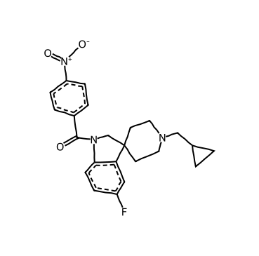 O=C(c1ccc([N+](=O)[O-])cc1)N1CC2(CCN(CC3CC3)CC2)c2cc(F)ccc21